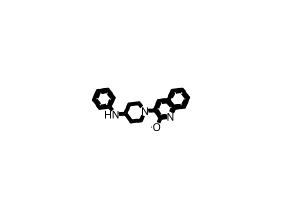 [O]c1nc2ccccc2cc1N1CCC(Nc2ccccc2)CC1